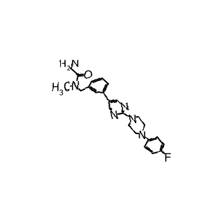 CN(Cc1cccc(-c2cnc(N3CCN(c4ccc(F)cc4)CC3)nc2)c1)C(=O)CN